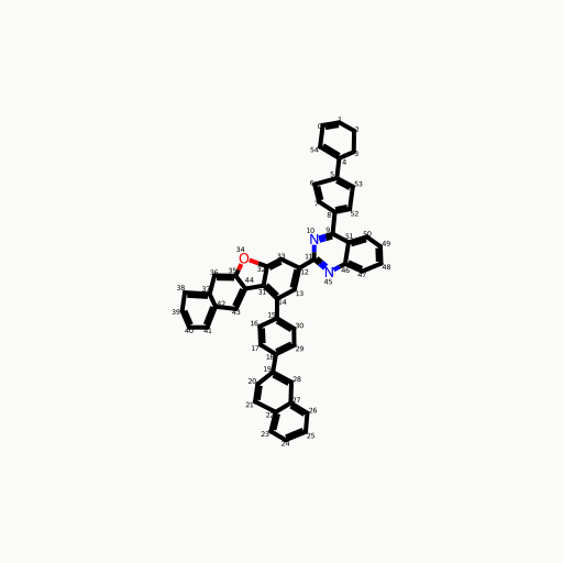 C1=CCCC(c2ccc(-c3nc(-c4cc(-c5ccc(-c6ccc7ccccc7c6)cc5)c5c(c4)oc4cc6ccccc6cc45)nc4ccccc34)cc2)=C1